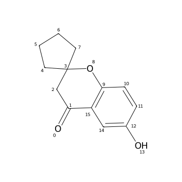 O=C1CC2(CCCC2)Oc2ccc(O)cc21